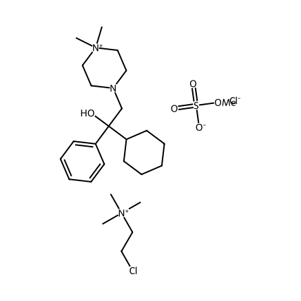 COS(=O)(=O)[O-].C[N+](C)(C)CCCl.C[N+]1(C)CCN(CC(O)(c2ccccc2)C2CCCCC2)CC1.[Cl-]